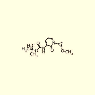 CO[C@H]1C[C@@H]1n1cccc(NC(=O)OC(C)(C)C)c1=O